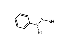 CCN(SS)c1ccccc1